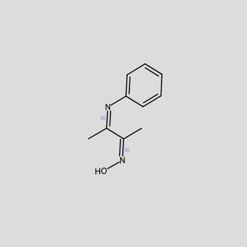 CC(=N/O)/C(C)=N\c1ccccc1